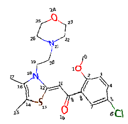 COc1ccc(Cl)cc1C(=O)/C=C1\SC(C)=C(C)N1CCN1CCOCC1